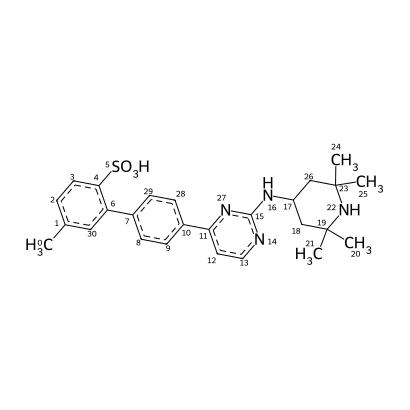 Cc1ccc(S(=O)(=O)O)c(-c2ccc(-c3ccnc(NC4CC(C)(C)NC(C)(C)C4)n3)cc2)c1